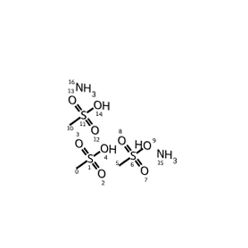 CS(=O)(=O)O.CS(=O)(=O)O.CS(=O)(=O)O.N.N